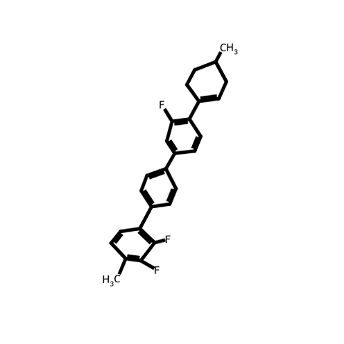 Cc1ccc(-c2ccc(-c3ccc(C4=CCC(C)CC4)c(F)c3)cc2)c(F)c1F